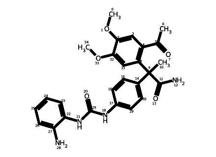 COc1cc(C(C)=O)c(C(C)(C(N)=O)c2ccc(NC(=O)Nc3ccccc3N)cc2)cc1OC